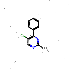 Cc1ncc(Cl)c(-c2ccccc2)n1